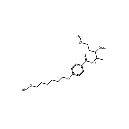 CCCOCCCCCCOc1ccc(C(=O)NC(C)C(C[CH2][Cr][CH2]CC)OC)cc1